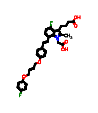 Cc1c(CCCC(=O)O)c2c(F)ccc(C=Cc3ccc(OC/C=C/COc4ccc(F)cc4)cc3)c2n1CC(=O)O